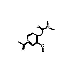 COc1cc(C(C)=O)ccc1OC(=S)N(C)C